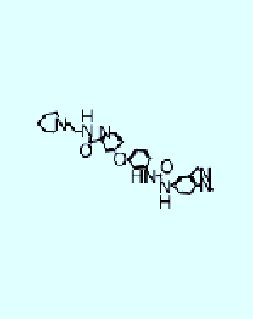 Cn1ncc2cc(NC(=O)Nc3cccc(Oc4ccnc(C(=O)NCCN5CCCCC5)c4)c3)ccc21